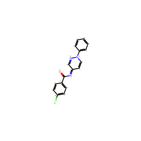 O=C(N=c1ccn(-c2ccccc2)nc1)c1ccc(Cl)cc1